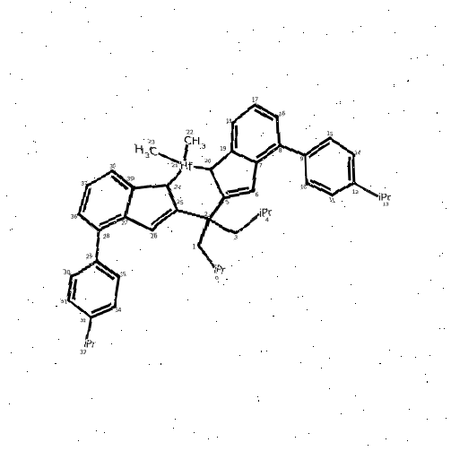 CC(C)CC1(CC(C)C)C2=Cc3c(-c4ccc(C(C)C)cc4)cccc3[CH]2[Hf]([CH3])([CH3])[CH]2C1=Cc1c(-c3ccc(C(C)C)cc3)cccc12